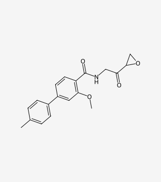 COc1cc(-c2ccc(C)cc2)ccc1C(=O)NCC(=O)C1CO1